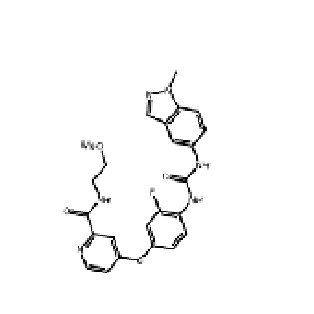 COCCNC(=O)c1cc(Oc2ccc(NC(=O)Nc3ccc4c(cnn4C)c3)c(F)c2)ccn1